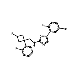 Fc1ccc(Br)cc1-c1nnc(NCC2(c3ncccc3F)CC(F)C2)s1